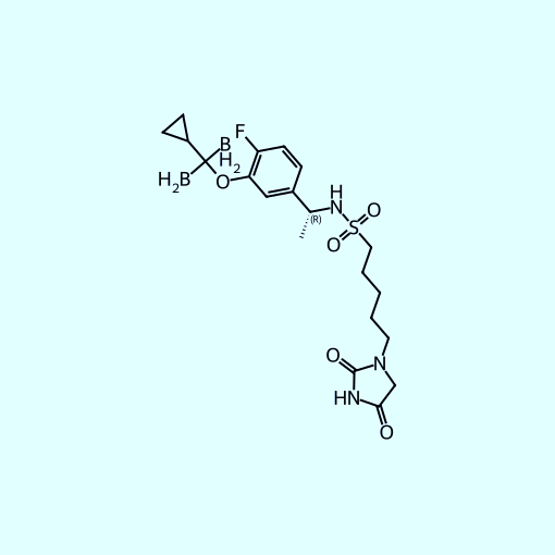 BC(B)(Oc1cc([C@@H](C)NS(=O)(=O)CCCCCN2CC(=O)NC2=O)ccc1F)C1CC1